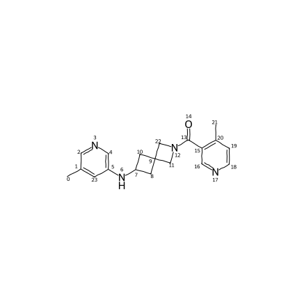 Cc1cncc(NC2CC3(C2)CN(C(=O)c2cnccc2C)C3)c1